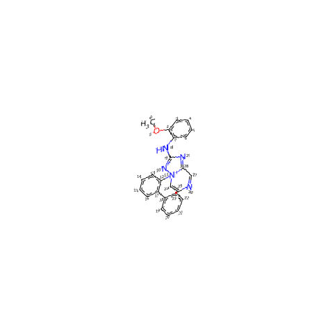 COc1ccccc1NC1=N[N+]2(c3ccccc3-c3ccccc3)C=CN=CC2=N1